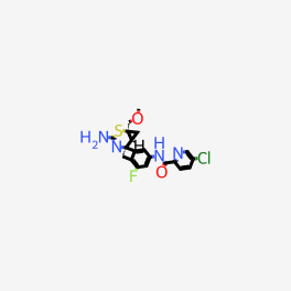 COC[C@]12C[C@H]1[C@]1(Cc3c(F)cc(NC(=O)c4ccc(Cl)cn4)cc31)N=C(N)S2